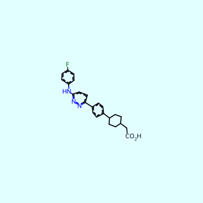 O=C(O)CC1CCC(c2ccc(-c3ccc(Nc4ccc(F)cc4)nn3)cc2)CC1